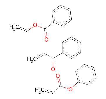 C=CC(=O)Oc1ccccc1.C=CC(=O)c1ccccc1.C=COC(=O)c1ccccc1